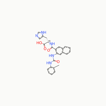 Cc1ccccc1NC(=O)Nc1cc2ccccc2cc1C(=O)N[C@@H](Cc1cnc[nH]1)C(=O)O